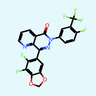 O=c1c2cccnc2c(-c2cc3c(c(F)c2F)OCO3)nn1-c1ccc(F)c(C(F)(F)F)c1